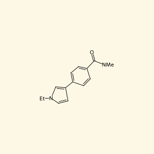 CCn1ccc(-c2ccc(C(=O)NC)cc2)c1